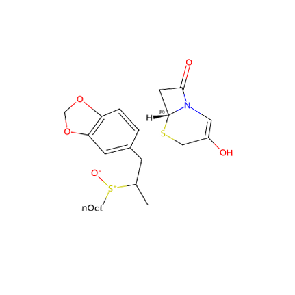 CCCCCCCC[S+]([O-])C(C)Cc1ccc2c(c1)OCO2.O=C1C[C@H]2SCC(O)=CN12